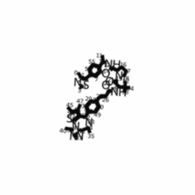 Cc1ncsc1-c1ccc(C(C)NC(=O)C2CCCN2C(=O)C(NC(=O)/C=C/c2ccc(C3=NC(C)c4nnc(C)n4-c4sc(C)c(C)c43)cc2)C(C)(C)C)cc1